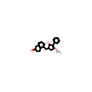 COC1=C(c2ccccc2)C(=O)C(Cc2cccc3c2CCC(=O)C3)C1